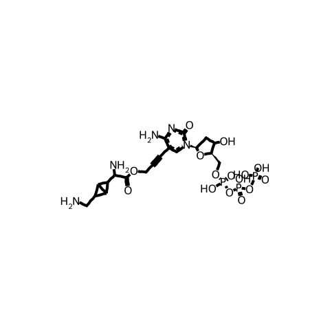 NCC1C2C(C(N)C(=O)OCC#Cc3cn([C@H]4CC(O)[C@@H](COP(=O)(O)OP(=O)(O)OP(=O)(O)O)O4)c(=O)nc3N)C12